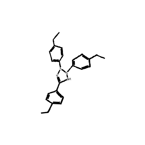 CCc1ccc(C2=NN(c3ccc(CC)cc3)N(c3ccc(CC)cc3)N2)cc1